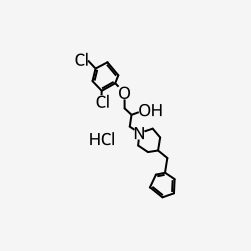 Cl.OC(COc1ccc(Cl)cc1Cl)CN1CCC(Cc2ccccc2)CC1